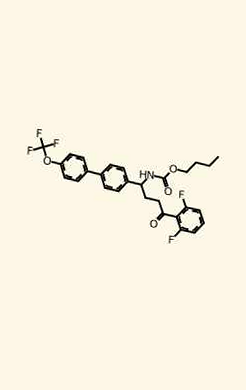 CCCCOC(=O)NC(CCC(=O)c1c(F)cccc1F)c1ccc(-c2ccc(OC(F)(F)F)cc2)cc1